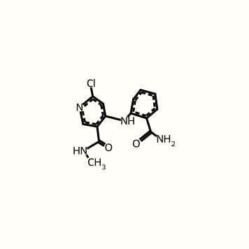 CNC(=O)c1cnc(Cl)cc1Nc1ccccc1C(N)=O